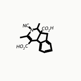 CC1=C(C(=O)O)C2c3ccccc3CC2(C(=O)O)C(C)N1C#N